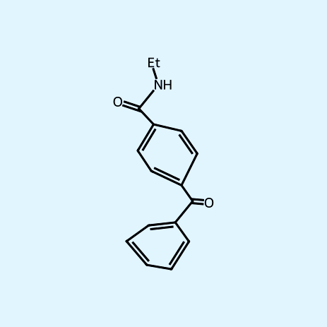 CCNC(=O)c1ccc(C(=O)c2ccccc2)cc1